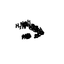 Cc1ccc([C@@H](CNc2ncc3n(c2=O)[C@H](C(=O)NCc2ccc(N)nc2C)CC3)c2ccccn2)c(C)c1.Cl.Cl.Cl